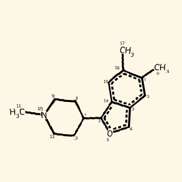 Cc1cc2coc(C3CCN(C)CC3)c2cc1C